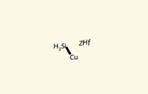 [Hf].[SiH3][Cu].[Zr]